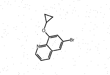 Brc1cc(OC2CC2)c2ncccc2c1